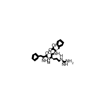 N=C(N)NCCC[C@@H](NC(=O)[C@@H](N)Cc1ccccc1)C(=O)N[C@@H](Cc1ccccc1)C(=O)O